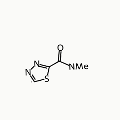 CNC(=O)c1nn[c]s1